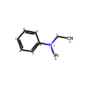 CC(C)N(CC#N)c1ccccc1